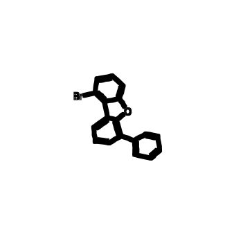 Brc1cccc2oc3c(-c4ccccc4)cccc3c12